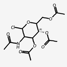 CC(=O)NC1C(Cl)OC(COC(C)=O)[C@H](OC(C)=O)C1OC(C)=O